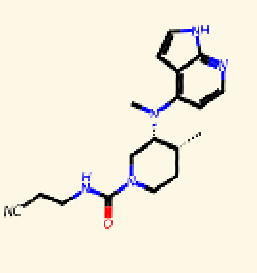 C[C@@H]1CCN(C(=O)NCCC#N)C[C@@H]1N(C)c1ccnc2[nH]ccc12